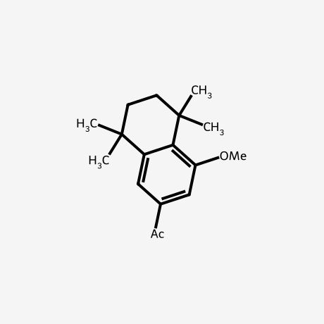 COc1cc(C(C)=O)cc2c1C(C)(C)CCC2(C)C